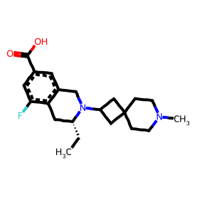 CC[C@@H]1Cc2c(F)cc(C(=O)O)cc2CN1C1CC2(CCN(C)CC2)C1